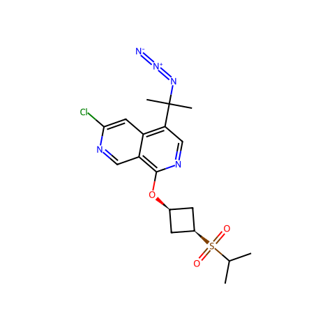 CC(C)S(=O)(=O)[C@H]1C[C@@H](Oc2ncc(C(C)(C)N=[N+]=[N-])c3cc(Cl)ncc23)C1